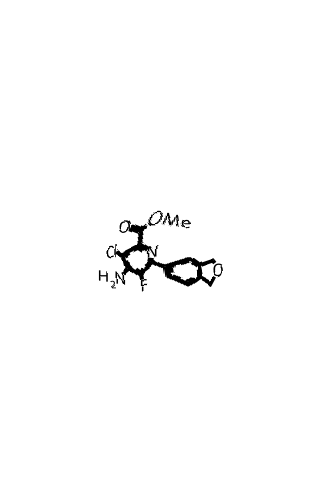 COC(=O)c1nc(-c2ccc3c(c2)COC3)c(F)c(N)c1Cl